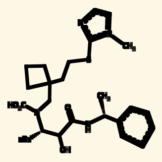 CCCC[C@@H](C(O)C(=O)N[C@H](C)c1ccccc1)N(CC1(CCSc2nccn2C)CCC1)C(=O)O